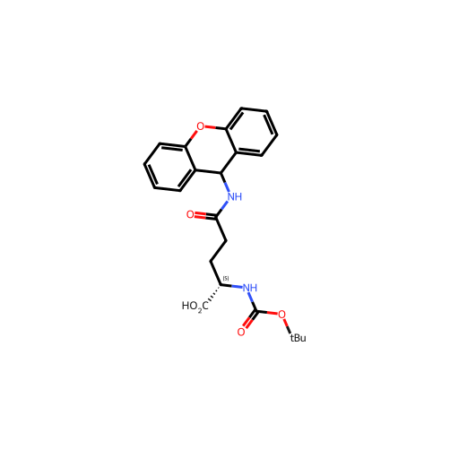 CC(C)(C)OC(=O)N[C@@H](CCC(=O)NC1c2ccccc2Oc2ccccc21)C(=O)O